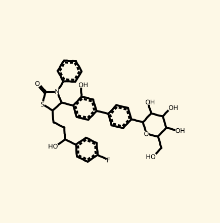 O=C1SC(CCC(O)c2ccc(F)cc2)C(c2ccc(-c3ccc(C4OC(CO)C(O)C(O)C4O)cc3)cc2O)N1c1ccccc1